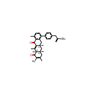 C=C(CCCC)Cc1ccc(-c2ccc(C)c3c2C[C@]2(C)C[C@]4(C)CC(C)=C(C(C)=O)C(=O)[C@]4(C)C(C)=C2C3=O)cc1